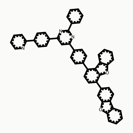 c1ccc(-c2nc(-c3ccc(-c4ccccn4)cc3)cc(-c3ccc(-c4ccc(-c5ccc6c(c5)oc5ccccc56)c5oc6ccccc6c45)cc3)n2)cc1